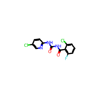 O=C(NC(=O)c1c(F)cccc1Cl)Nc1ccc(Cl)cn1